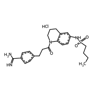 CCCCS(=O)(=O)Nc1ccc2c(c1)CCCN2C(=O)CCc1ccc(C(=N)N)cc1.Cl